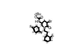 CC(C)(C)OC(=O)NC1CC(Br)C(=O)N(CCc2ccccc2F)[C@@H]1C1CC(F)=CC=C1F